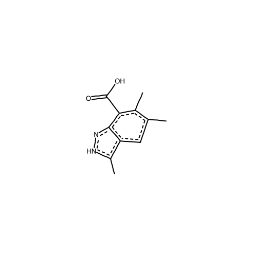 Cc1cc2c(C)[nH]nc2c(C(=O)O)c1C